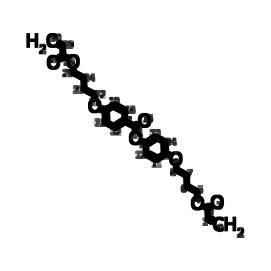 C=CC(=O)OCCCCOc1ccc(OC(=O)c2ccc(OCCCCOC(=O)C=C)cc2)cc1